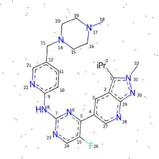 CC(C)c1c2cc(-c3nc(Nc4ccc(CN5CCN(C)CC5)cn4)ncc3F)cnc2nn1C